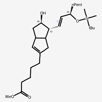 CCCCC[C@H](/C=C/[C@@H]1C2CC(CCCCC(=O)OC)=CC2C[C@H]1O)O[Si](C)(C)C(C)(C)C